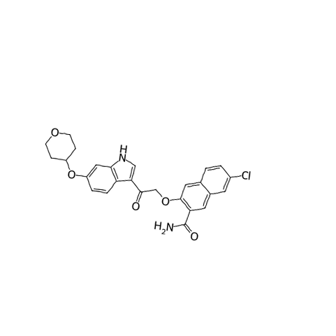 NC(=O)c1cc2cc(Cl)ccc2cc1OCC(=O)c1c[nH]c2cc(OC3CCOCC3)ccc12